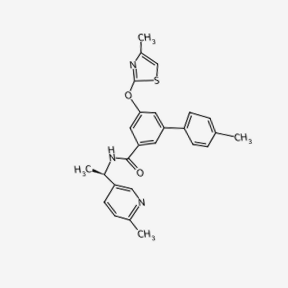 Cc1ccc(-c2cc(Oc3nc(C)cs3)cc(C(=O)N[C@H](C)c3ccc(C)nc3)c2)cc1